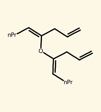 C=CCC(=CCCC)OC(=CCCC)CC=C